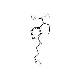 CN(C)C1CCCc2c(OCCCN)cccc21